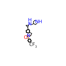 [O-][S+](c1ccc(C(F)(F)F)cc1)N1CCc2cc(C3CC3NCC3CCNCC3)ccc21